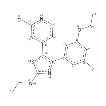 CCNc1nc(-c2cc(C)cc(OCC)c2)c(-c2ccnc(Cl)n2)s1